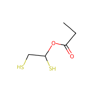 CCC(=O)OC(S)CS